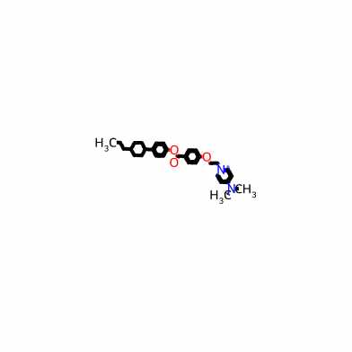 CCCC1CCC(c2ccc(OC(=O)c3ccc(OCC[n+]4ccc(N(C)C)cc4)cc3)cc2)CC1